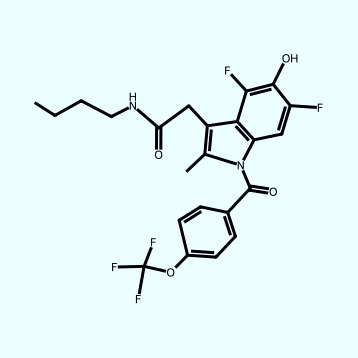 CCCCNC(=O)Cc1c(C)n(C(=O)c2ccc(OC(F)(F)F)cc2)c2cc(F)c(O)c(F)c12